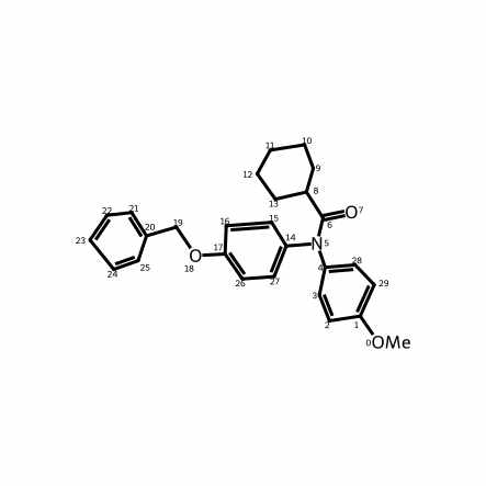 COc1ccc(N(C(=O)C2CCCCC2)c2ccc(OCc3ccccc3)cc2)cc1